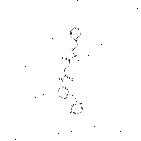 O=C(CCC(=O)Nc1cccc(Oc2ccccc2)c1)NOCc1ccccc1